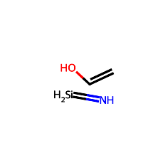 C=CO.N=[SiH2]